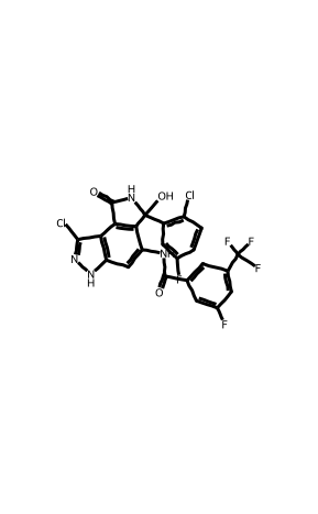 O=C(Nc1cc2[nH]nc(Cl)c2c2c1C(O)(c1cc(F)ccc1Cl)NC2=O)c1cc(F)cc(C(F)(F)F)c1